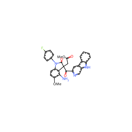 COC(=O)CC1(C(=O)c2cc3c(cn2)[nH]c2ccccc23)C(=O)N(c2ccc(F)cc2)c2ccc(OC)c(N)c21